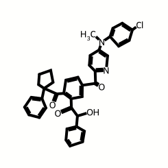 CN(c1ccc(Cl)cc1)c1ccc(C(=O)c2ccc(C(=O)C3(c4ccccc4)CCCC3)c(C(=O)C(O)c3ccccc3)c2)nc1